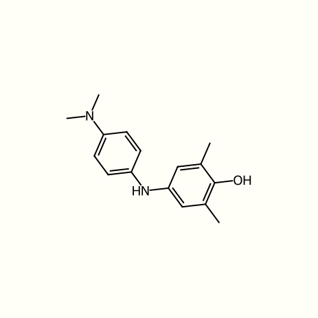 Cc1cc(Nc2ccc(N(C)C)cc2)cc(C)c1O